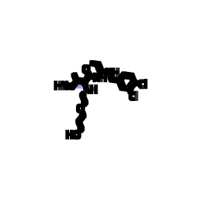 CC=C(NCc1ccc(Cl)c(Cl)c1)NC(=O)/C(NCCOCCCO)=C(\C)C=N